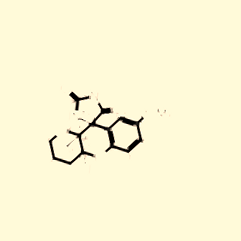 COc1ccc2c(c1)[C@]1(NC(=O)NC1=O)[C@@]1(C)OCCC[C@@H]1O2